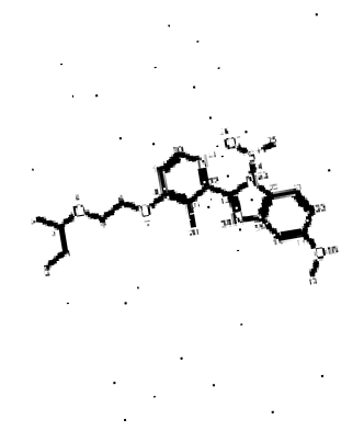 CCC(C)OCCOc1ccnc(-c2nc3cc(OC)ccc3n2[S+](C)[O-])c1C